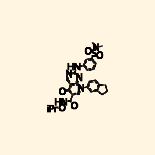 CC(C)ONC(=O)c1cn(-c2ccc3c(c2)CCC3)c2nc(Nc3cccc(S(=O)(=O)N(C)C)c3)ncc2c1=O